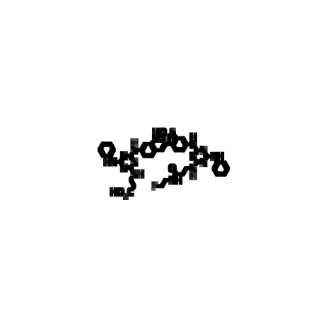 O=C(O)CCNc1nc(Nc2ccccc2)nc(Nc2ccc(/C=C/c3ccc(Nc4nc(NCCC(=O)NCCF)nc(Nc5ccccc5)n4)cc3S(=O)(=O)O)c(S(=O)(=O)O)c2)n1